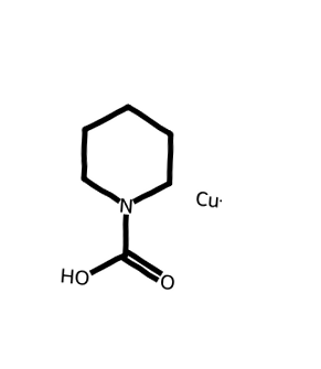 O=C(O)N1CCCCC1.[Cu]